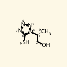 C[C@H](CO)n1nnnc1S